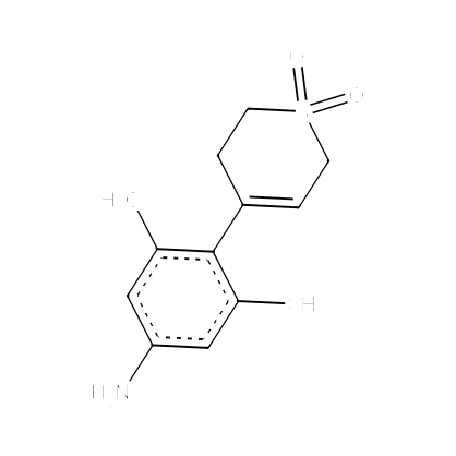 Cc1cc(N)cc(C)c1C1=CCS(=O)(=O)CC1